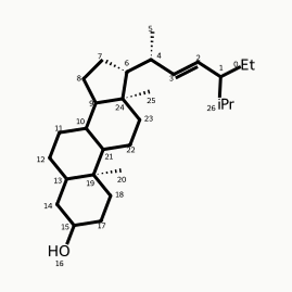 CCC(/C=C/[C@@H](C)[C@H]1CCC2C3CCC4CC(O)CC[C@]4(C)C3CC[C@@]21C)C(C)C